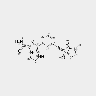 CN1CC[C@@](O)(C#Cc2cccc(-c3nc(C(N)=O)n4c3NCC4)c2)C1=O